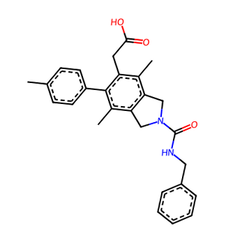 Cc1ccc(-c2c(C)c3c(c(C)c2CC(=O)O)CN(C(=O)NCc2ccccc2)C3)cc1